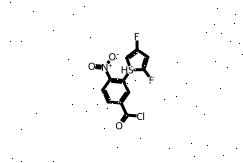 O=C(Cl)c1ccc([N+](=O)[O-])c([SH]2C=C(F)C=C2F)c1